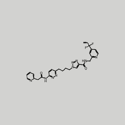 C=CC(F)(F)c1ccnc(CNC(=O)c2cn(CCCCc3ccc(NC(=O)Cc4ccccn4)nn3)nn2)c1